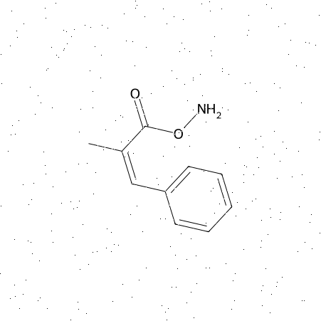 CC(=Cc1ccccc1)C(=O)ON